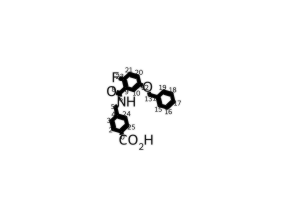 O=C(O)c1ccc(CNC(=O)c2cc(OCc3ccccc3)ccc2F)cc1